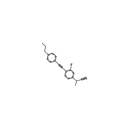 CCCc1ccc(C#Cc2ccc(C(C)C#N)cc2F)cc1